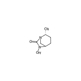 N#C[C@@H]1CCC2CN1C(=O)N2O